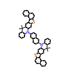 CC1(C)c2ccccc2N(c2ccc3cc(N4c5ccccc5C(C)(C)c5cc6c(cc54)sc4ccc5ccccc5c46)ccc3c2)c2cc3sc4ccc5ccccc5c4c3cc21